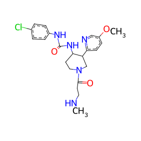 CNCCC(=O)N1CCC(NC(=O)Nc2ccc(Cl)cc2)C(c2ccc(OC)cn2)C1